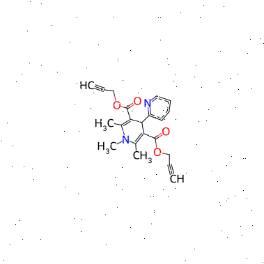 C#CCOC(=O)C1=C(C)N(C)C(C)=C(C(=O)OCC#C)C1c1ccccn1